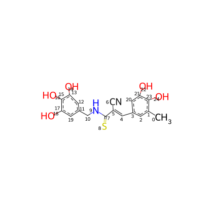 Cc1cc(/C=C(\C#N)C(=S)NCc2cc(O)c(O)c(O)c2)cc(O)c1O